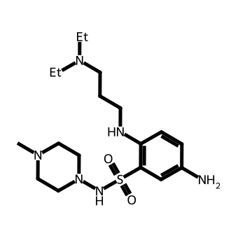 CCN(CC)CCCNc1ccc(N)cc1S(=O)(=O)NN1CCN(C)CC1